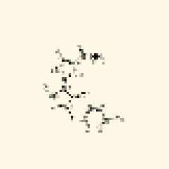 Cc1nc(N2C(=O)N(Cc3ccc(F)cc3)C[C@@H]2C)sc1C(N)=O